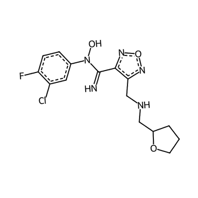 N=C(c1nonc1CNCC1CCCO1)N(O)c1ccc(F)c(Cl)c1